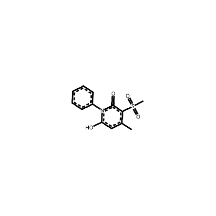 Cc1cc(O)n(-c2ccccc2)c(=O)c1S(C)(=O)=O